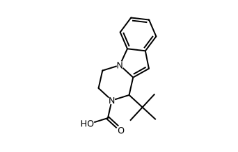 CC(C)(C)C1c2cc3ccccc3n2CCN1C(=O)O